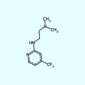 CN(C)CCNc1cc(C(F)(F)F)ccn1